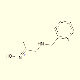 C/C(CNCc1ccccn1)=N\O